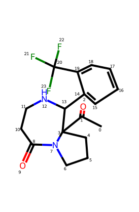 CC(=O)C12CCCN1C(=O)CCNC2c1ccccc1C(F)(F)F